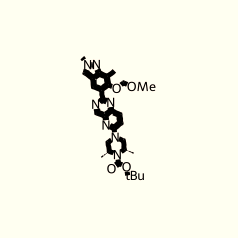 COCOc1c(-c2ncc3nc(N4C[C@@H](C)N(C(=O)OC(C)(C)C)[C@@H](C)C4)ccc3n2)cc2cn(C)nc2c1C